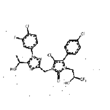 CC(O)c1nc(Cn2c(Cl)c(-c3ccc(Cl)cc3)n(CC(O)C(F)(F)F)c2=O)nn1-c1ccc(Cl)c(F)c1